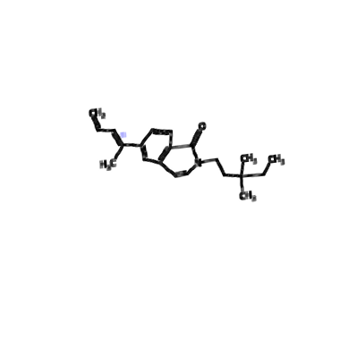 C=C/C=C(\C)c1ccc2c(=O)n(CCC(C)(C)CC)ccc2c1